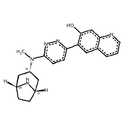 CN(c1ccc(-c2cc3cccnc3cc2O)nn1)[C@H]1C[C@H]2CC[C@@H](C1)N2